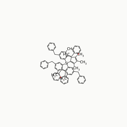 CC1=C(C)C(C)C([Si](c2cc(Cc3ccccc3)cc(C)c2Cc2ccccc2)(c2cc(Cc3ccccc3)cc(C)c2Cc2ccccc2)c2cc(Cc3ccccc3)cc(C)c2Cc2ccccc2)=C1C